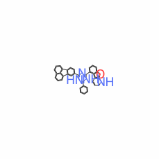 C1=Cc2c(oc3cccc(C4=NC(c5ccc6c(c5)-c5cccc7cccc-6c57)NC(c5ccccc5)N4)c23)NC1